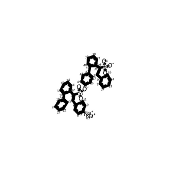 O=S(=O)([O-])C(=Cc1ccccc1)c1ccccc1-c1ccccc1.O=S(=O)([O-])C(=Cc1ccccc1)c1ccccc1-c1ccccc1.[Na+].[Na+]